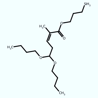 CCCCOC(CC=C(C)C(=O)OCCC[SiH3])OCCCC